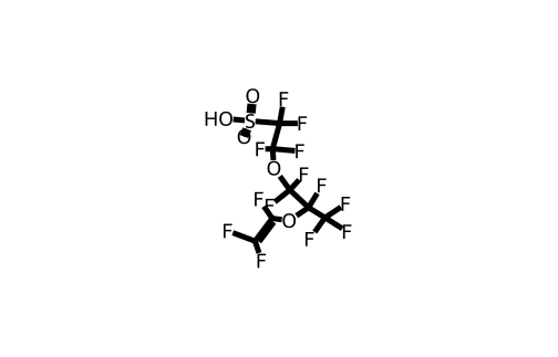 O=S(=O)(O)C(F)(F)C(F)(F)OC(F)(F)C(F)(OC(F)=C(F)F)C(F)(F)F